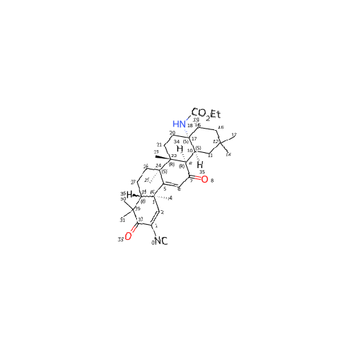 [C-]#[N+]C1=C[C@]2(C)C3=CC(=O)[C@@H]4[C@@H]5CC(C)(C)CC[C@]5(NC(=O)OCC)CC[C@@]4(C)[C@]3(C)CC[C@H]2C(C)(C)C1=O